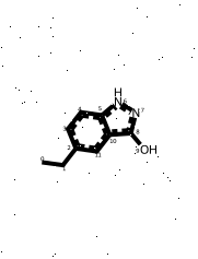 CCc1ccc2[nH]nc(O)c2c1